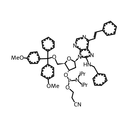 COc1ccc(C(OC[C@H]2O[C@@H](n3c(NCc4ccccc4)nc4c(C=Cc5ccccc5)ncnc43)C[C@@H]2OP(OCCC#N)N(C(C)C)C(C)C)(c2ccccc2)c2ccc(OC)cc2)cc1